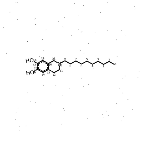 CCCCCCCCCCN1CCc2cc(O)c(O)cc2C1